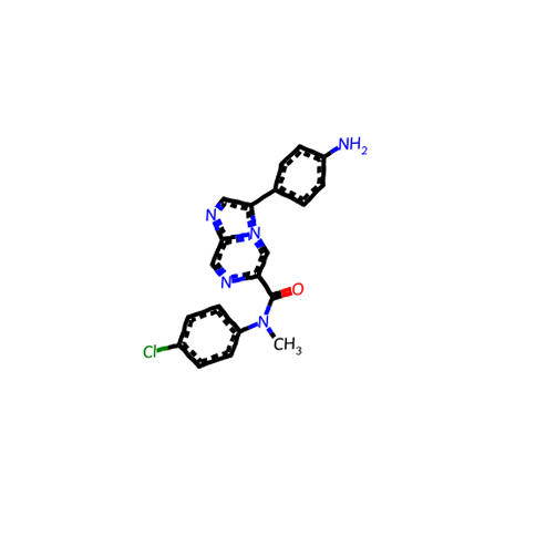 CN(C(=O)c1cn2c(-c3ccc(N)cc3)cnc2cn1)c1ccc(Cl)cc1